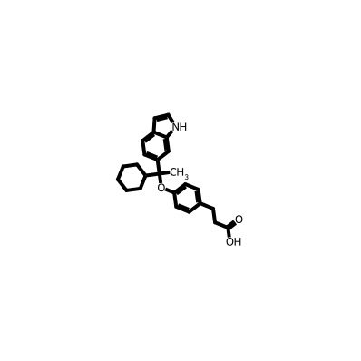 CC(Oc1ccc(CCC(=O)O)cc1)(c1ccc2cc[nH]c2c1)C1CCCCC1